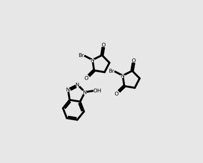 O=C1CCC(=O)N1Br.O=C1CCC(=O)N1Br.On1nnc2ccccc21